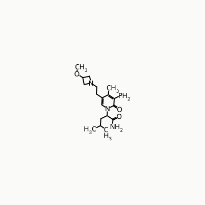 COC1CN(CCc2cn(C(CC(C)C)C(N)=O)c(=O)c(P)c2C)C1